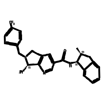 CC(C)[C@H]1c2ncc(C(=O)N[C@@H]3c4ccccc4C[C@H]3C)cc2CN1Cc1ccc(C(F)(F)F)cc1